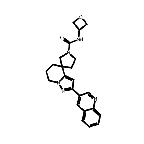 O=C(NC1COC1)N1CCC2(CCCn3nc(-c4cnc5ccccc5c4)cc32)C1